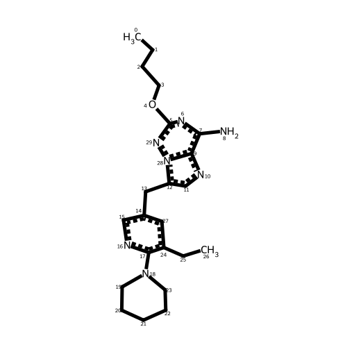 CCCCOc1nc(N)c2ncc(Cc3cnc(N4CCCCC4)c(CC)c3)n2n1